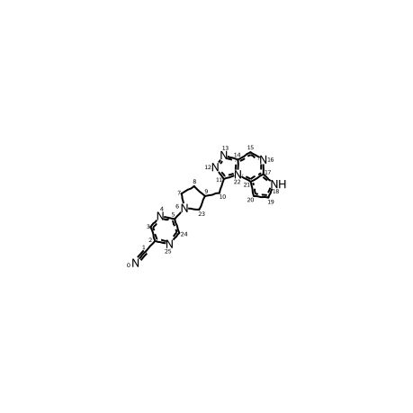 N#Cc1cnc(N2CCC(Cc3nnc4cnc5[nH]ccc5n34)C2)cn1